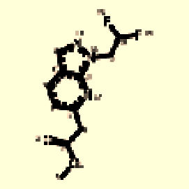 COC(=O)Cc1ccc2cnn(CC(F)F)c2n1